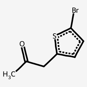 CC(=O)Cc1ccc(Br)s1